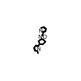 Cc1cccc(C2CCc3oc(-c4ccccn4)nc3C2)n1